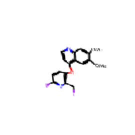 COc1cc2nccc(Oc3ccc(I)nc3CI)c2cc1OC